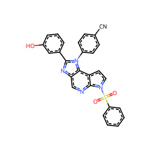 N#Cc1ccc(-n2c(-c3cccc(O)c3)nc3cnc4c(ccn4S(=O)(=O)c4ccccc4)c32)cc1